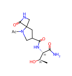 CC(=O)N1CC(C(=O)N[C@H](C(N)=O)[C@@H](C)O)CC12CNC2=O